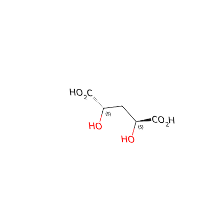 O=C(O)[C@@H](O)C[C@H](O)C(=O)O